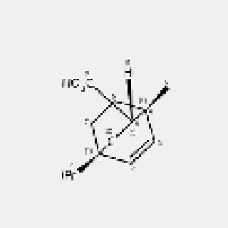 CC(C)[C@@]12C=C[C@@](C)(CC1)[C@@H](C(=O)O)C2